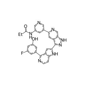 CCC(=O)Nc1cncc(-c2cc3c(-c4cc5c(-c6cc(O)cc(F)c6)nccc5[nH]4)n[nH]c3cn2)c1